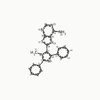 Cn1c(-c2ccccc2)nc(-c2ccccc2)c1-c1nc2c(N)ncnc2s1